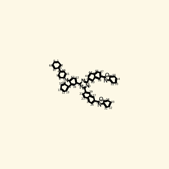 c1ccc(-c2ccc(-n3c4ccccc4c4cc(-c5nc(-c6ccc7ccc(-c8nc9ccccc9o8)cc7c6)nc(-c6ccc7ccc(-c8nc9ccccc9o8)cc7c6)n5)ccc43)cc2)cc1